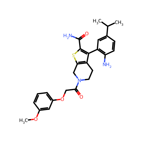 COc1cccc(OCC(=O)N2CCc3c(sc(C(N)=O)c3-c3cc(C(C)C)ccc3N)C2)c1